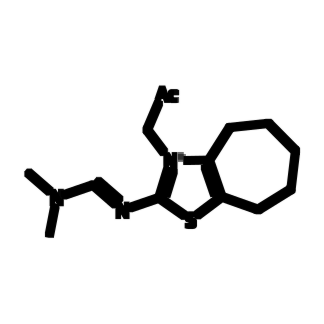 CC(=O)C[n+]1c(N=CN(C)C)sc2c1CCCCC2